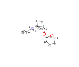 CCC/C=C/[C@@H]1CC[C@H]1COC1CCCCO1